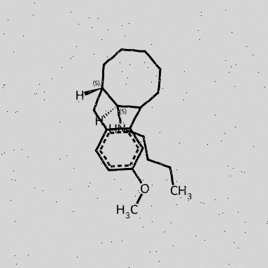 CCCCN[C@@H]1C2CCCCC[C@H]1Cc1ccc(OC)cc12